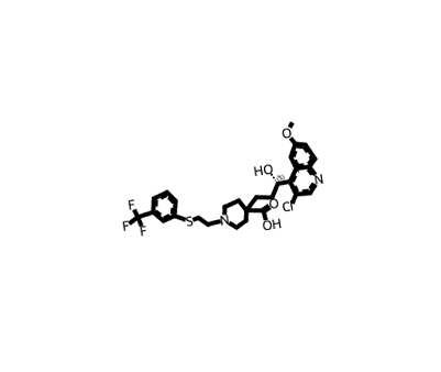 COc1ccc2ncc(Cl)c([C@@H](O)CCC3(C(=O)O)CCN(CCSc4cccc(C(F)(F)F)c4)CC3)c2c1